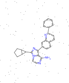 Nc1nccn2c(C3C4CCCC43)nc(-c3ccc4ccc(-c5ccccc5)nc4c3)c12